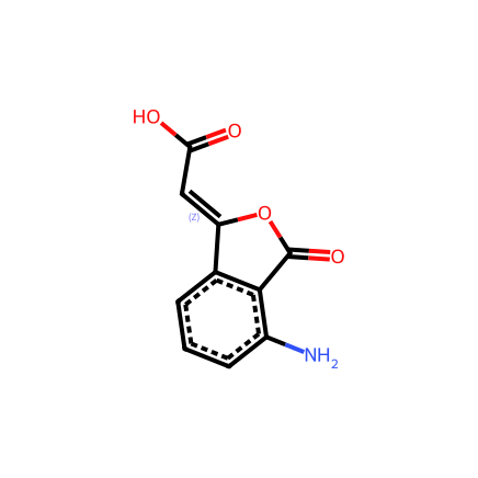 Nc1cccc2c1C(=O)O/C2=C\C(=O)O